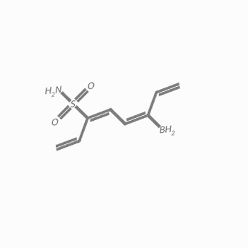 B/C(C=C)=C/C=C(\C=C)S(N)(=O)=O